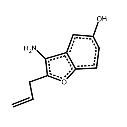 C=CCc1oc2ccc(O)cc2c1N